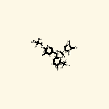 O=C1NC[C@@H](C(=O)N[C@@H](c2cnc(OCC(F)(F)F)c(F)c2)c2ccc(F)c(C(F)(F)F)n2)N1